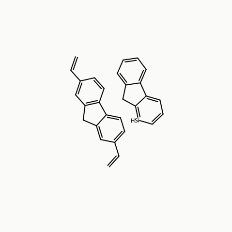 C=Cc1ccc2c(c1)Cc1cc(C=C)ccc1-2.c1ccc2c(c1)Cc1[siH]cccc1-2